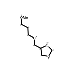 COCCCOCC1COCO1